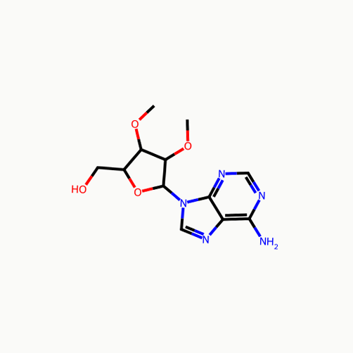 COC1C(CO)OC(n2cnc3c(N)ncnc32)C1OC